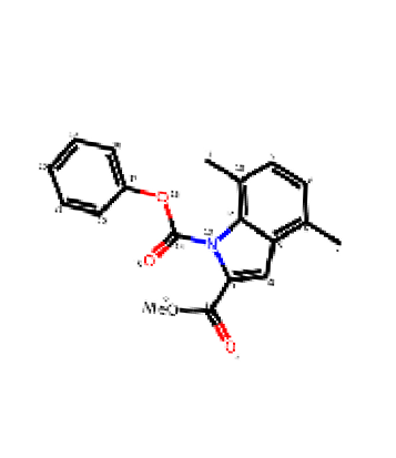 COC(=O)c1cc2c(C)ccc(C)c2n1C(=O)Oc1ccccc1